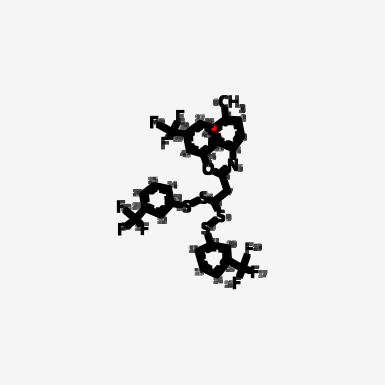 Cc1ccc(/N=C(/CC(SSc2cccc(C(F)(F)F)c2)SSc2cccc(C(F)(F)F)c2)Oc2cccc(C(F)(F)F)c2)cc1